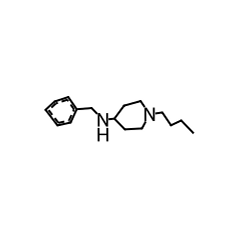 CCCCN1CCC(NCc2ccccc2)CC1